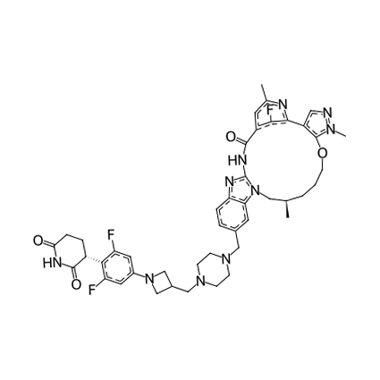 Cc1cc2c(F)c(n1)-c1cnn(C)c1OCCC[C@@H](C)Cn1c(nc3ccc(CN4CCN(CC5CN(c6cc(F)c([C@H]7CCC(=O)NC7=O)c(F)c6)C5)CC4)cc31)NC2=O